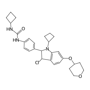 O=C(Nc1ccc(C2C(Cl)c3ccc(OC4CCOCC4)cc3N2C2CCC2)cc1)NC1CCC1